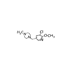 COc1ncc(CN2CCN(C)CC2)cc1Cl